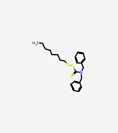 CCCCCCCCSSC(=S)N(Cc1ccccc1)Cc1ccccc1